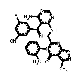 Cc1ccccc1-n1c(CNc2ncnc(N)c2C(=N)c2cc(F)cc(N=O)c2)nc2snc(C)c2c1=O